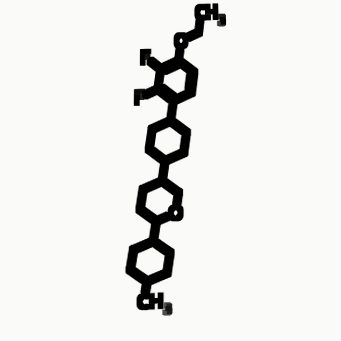 CCOc1ccc(C2CCC(C3CCC(C4CCC(C)CC4)OC3)CC2)c(F)c1F